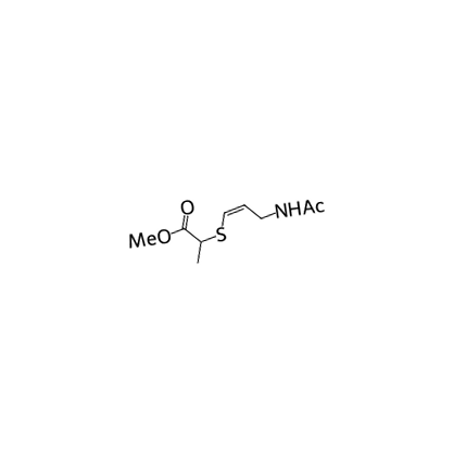 COC(=O)C(C)S/C=C\CNC(C)=O